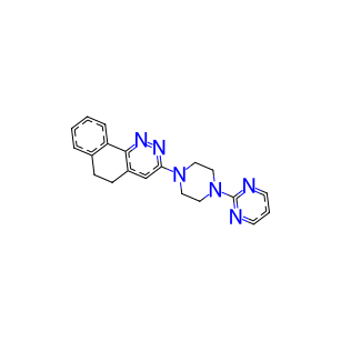 c1cnc(N2CCN(c3cc4c(nn3)-c3ccccc3CC4)CC2)nc1